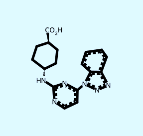 O=C(O)[C@H]1CC[C@H](Nc2nccc(-n3nnc4ccccc43)n2)CC1